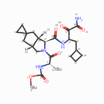 CC(C)(C)OC(=O)N[C@H](C(=O)N1C[C@@H]2CC3(CC3)C[C@@H]2[C@H]1C(=O)NC(CC1CCC1)C(=O)C(N)=O)C(C)(C)C